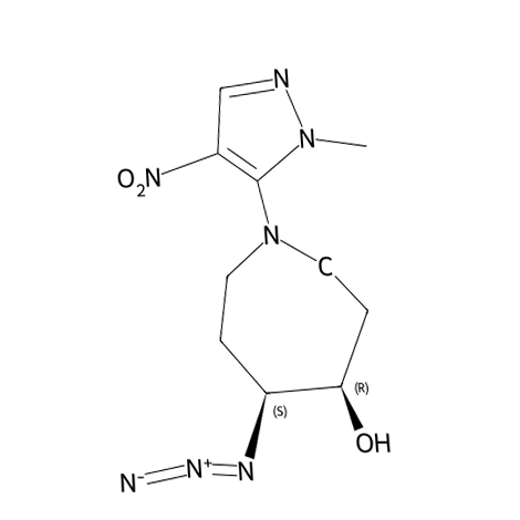 Cn1ncc([N+](=O)[O-])c1N1CC[C@@H](O)[C@@H](N=[N+]=[N-])CC1